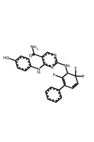 NC(=O)c1cnc(NC2C(F)=C(c3ccccc3)C=CC2(F)F)nc1Nc1ccc(O)cc1